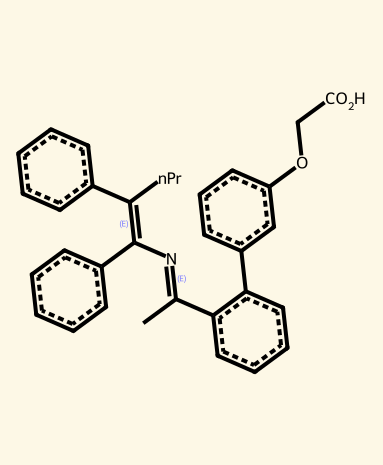 CCC/C(=C(\N=C(/C)c1ccccc1-c1cccc(OCC(=O)O)c1)c1ccccc1)c1ccccc1